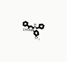 O=CC(=CC(NCc1ccccc1)Nc1cccc(C(F)(F)F)c1)c1ccccc1